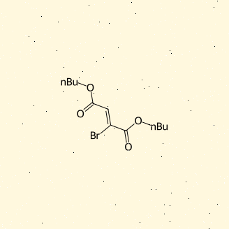 CCCCOC(=O)C=C(Br)C(=O)OCCCC